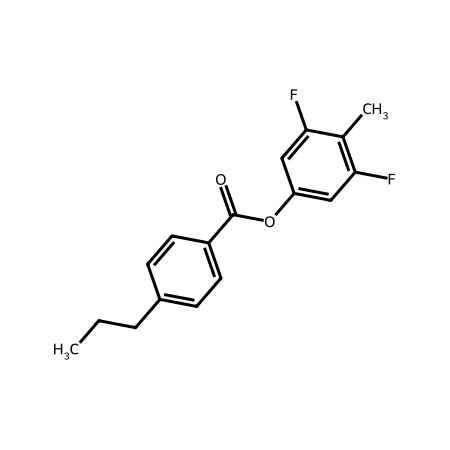 CCCc1ccc(C(=O)Oc2cc(F)c(C)c(F)c2)cc1